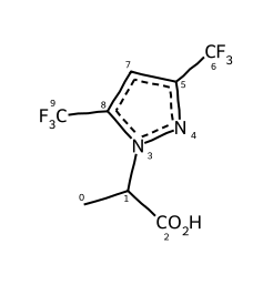 CC(C(=O)O)n1nc(C(F)(F)F)cc1C(F)(F)F